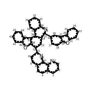 c1cnc2c(c1)ccc1ccc(-c3cc4c(-c5ccc6oc7ccccc7c6c5)nc5ccccc5c4c4c3oc3ccccc34)nc12